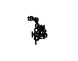 CCn1c(Nc2ccc(I)cc2F)c(C(=O)NOCCOC(C)(C)C)c(=O)n(C)c1=O